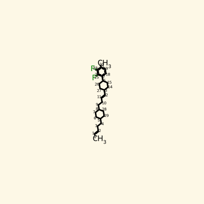 C/C=C/CCC1CCC(CC/C=C/C2CCC(c3ccc(C)c(F)c3F)CC2)CC1